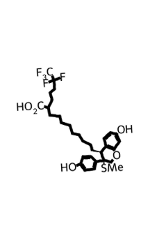 CS[C@@]1(c2ccc(O)cc2)COc2cc(O)ccc2[C@@H]1CCCCCCCCCC(CCCC(F)(F)C(F)(F)F)C(=O)O